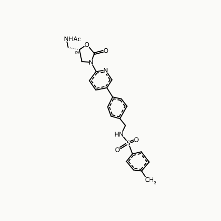 CC(=O)NC[C@H]1CN(c2ccc(-c3ccc(CNS(=O)(=O)c4ccc(C)cc4)cc3)cn2)C(=O)O1